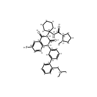 CN(C)Cc1ccccc1-c1cccc(-n2c(=O)n(C3(NC(=O)[C@H]4CCCN4C)CCCCC3)c(=O)c3cc(F)cnc32)c1